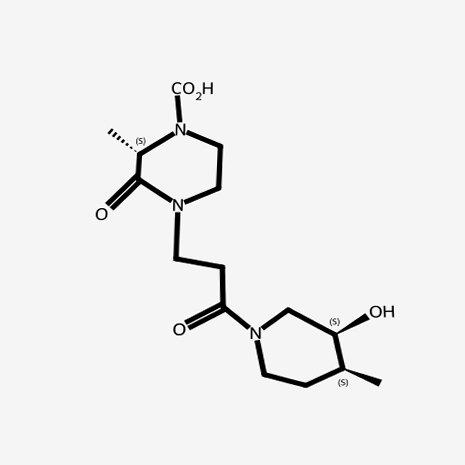 C[C@H]1CCN(C(=O)CCN2CCN(C(=O)O)[C@@H](C)C2=O)C[C@H]1O